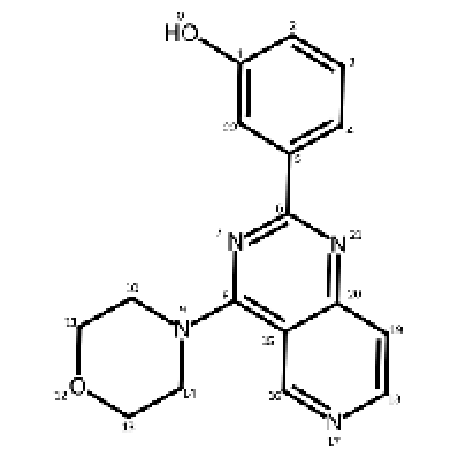 Oc1cccc(-c2nc(N3CCOCC3)c3cnccc3n2)c1